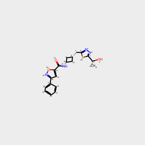 C[C@@H](O)c1nnc(C[C@H]2C[C@@H](NC(=O)c3cc(-c4ccccc4)no3)C2)s1